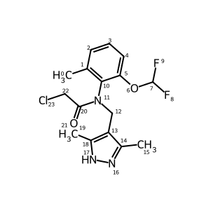 Cc1cccc(OC(F)F)c1N(Cc1c(C)n[nH]c1C)C(=O)CCl